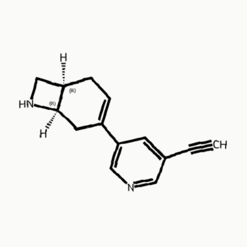 C#Cc1cncc(C2=CC[C@@H]3CN[C@@H]3C2)c1